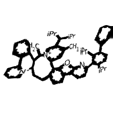 C=C1C2c3ccccc3-c3cccc[n+]3C2CCc2ccc3c(oc4nc(-c5c(C(C)C)ccc(-c6ccccc6)c5C(C)C)ccc43)c2-c2cc(C)c(C(C(C)C)C(C)C)c[n+]21